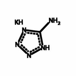 Nc1nnn[nH]1.[KH]